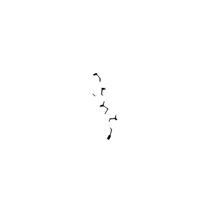 C#CCN[C@@H](CCC(=O)N[C@@H](CS)C(=O)NCC(=O)O)C(=O)O